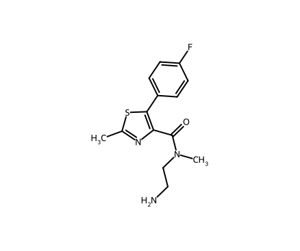 Cc1nc(C(=O)N(C)CCN)c(-c2ccc(F)cc2)s1